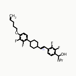 C=CCCCOc1ccc(C2CCC(/C=C/c3ccc(C(O)CCC)c(F)c3F)CC2)c(F)c1F